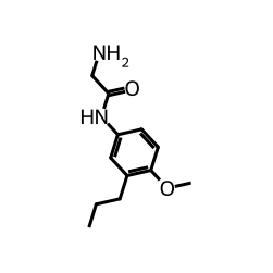 CCCc1cc(NC(=O)CN)ccc1OC